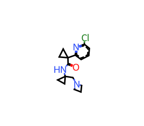 O=C(NC1(CN2CCC2)CC1)C1(c2cccc(Cl)n2)CC1